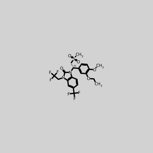 CCOc1cc([C@@H](CS(C)(=O)=O)n2c(=O)n(CC(F)(F)F)c3cc(C(F)(F)F)ccc32)ccc1OC